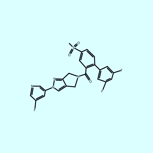 CS(=O)(=O)c1ccc(-c2cc(F)cc(F)c2)c(C(=O)N2Cc3cn(-c4cncc(F)c4)nc3C2)c1